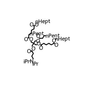 CCCCCCCOC(=O)CCCCC(=O)OCC(COC(=O)CCCCC(=O)OCCCCCCC)(COC(=O)CCCN(C(C)C)C(C)C)COC(=O)CC(CCCCC)CCCCC